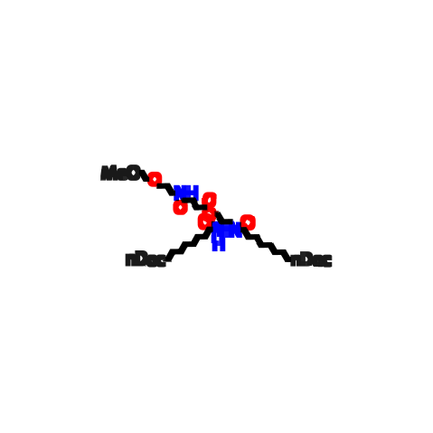 CCCCCCCCCCCCCCCCCC(=O)NCC(COC(=O)CCC(=O)NCCCOCCOC)NC(=O)CCCCCCCCCCCCCCCCC